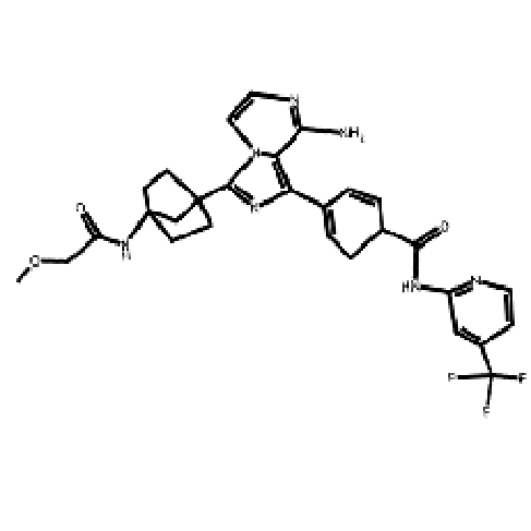 COCC(=O)NC12CCC(c3nc(C4=CCC(C(=O)Nc5cc(C(F)(F)F)ccn5)C=C4)c4c(N)nccn34)(CC1)C2